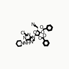 N#CC[C@H]1O[C@@H](n2cnc3c(NN4CCCCC4)nc(Cl)nc32)[C@H](OC(=O)c2ccccc2)[C@@H]1OC(=O)c1ccccc1